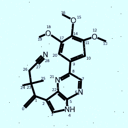 C=C(c1c[nH]c2ncc(-c3cc(OC)c(OC)c(OC)c3)nc12)C(C)(C)CC#N